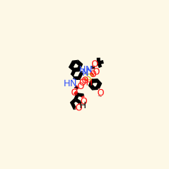 COc1ccc(S(=O)(=O)N(C[C@@H](O)[C@H](Cc2ccccc2)NC(=O)OC2CO[C@H]3OCCC23)NC(=O)OC(C)(C)C)cc1